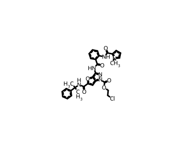 Cn1cccc1C(=O)Nc1ccccc1C(=O)Nc1nn(C(=O)OCCCl)c2cc(C(=O)NC(C)(C)c3ccccc3)oc12